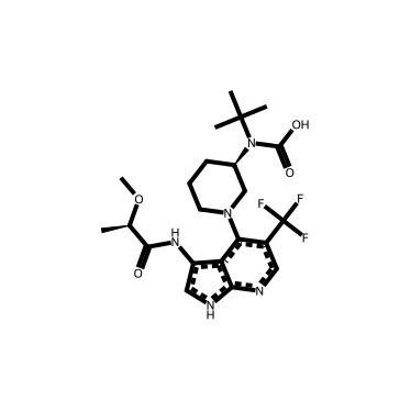 CO[C@H](C)C(=O)Nc1c[nH]c2ncc(C(F)(F)F)c(N3CCC[C@@H](N(C(=O)O)C(C)(C)C)C3)c12